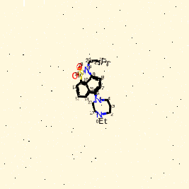 CCN1CCCN(c2ccc3c4c(cccc24)S(=O)(=O)N3CC(C)C)CC1